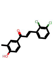 Cc1cc(C(=O)/C=C/c2cccc(Cl)c2Cl)ccc1O